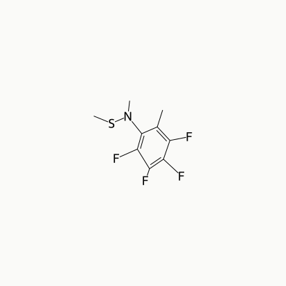 CSN(C)c1c(C)c(F)c(F)c(F)c1F